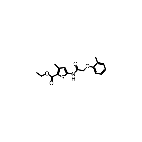 CCOC(=O)c1sc(NC(=O)COc2ccccc2C)cc1C